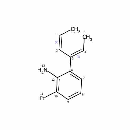 C/C=C\C(=C/C)c1cccc(C(C)C)c1N